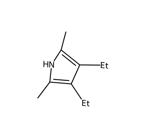 CCc1c(C)[nH]c(C)c1CC